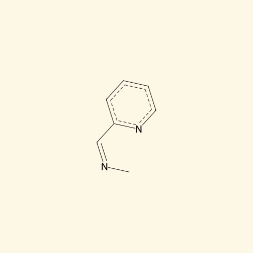 C/N=C\c1ccccn1